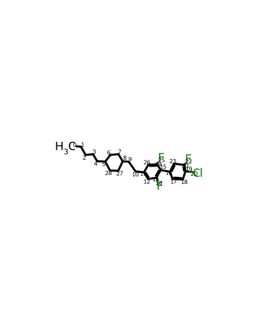 CCCCCC1CCC(CCc2cc(F)c(-c3ccc(Cl)c(F)c3)c(F)c2)CC1